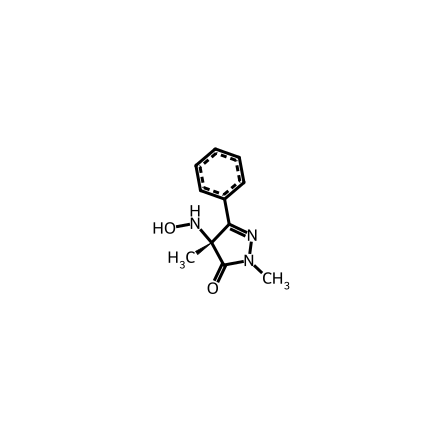 CN1N=C(c2ccccc2)[C@@](C)(NO)C1=O